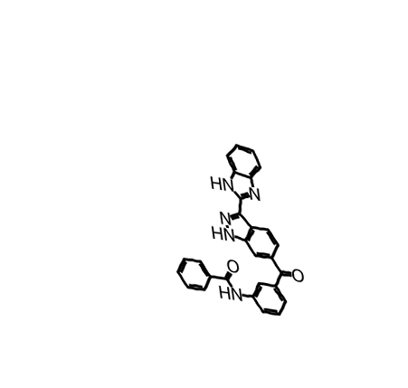 O=C(Nc1cccc(C(=O)c2ccc3c(-c4nc5ccccc5[nH]4)n[nH]c3c2)c1)c1ccccc1